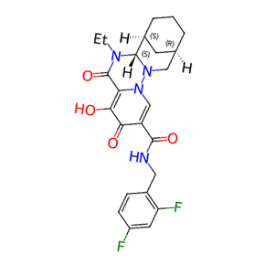 CCN1C(=O)c2c(O)c(=O)c(C(=O)NCc3ccc(F)cc3F)cn2N2C[C@@H]3CCC[C@@H](C3)[C@@H]12